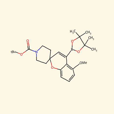 COc1cccc2c1C(B1OC(C)(C)C(C)(C)O1)=CC1(CCN(C(=O)OC(C)(C)C)CC1)O2